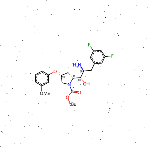 COc1cccc(O[C@@H]2C[C@H]([C@@H](O)[C@@H](N)Cc3cc(F)cc(F)c3)N(C(=O)OC(C)(C)C)C2)c1